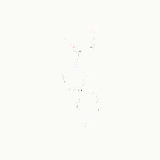 CC(C)(C)N1CCC2(CCN(C(=O)CO)C2)C1